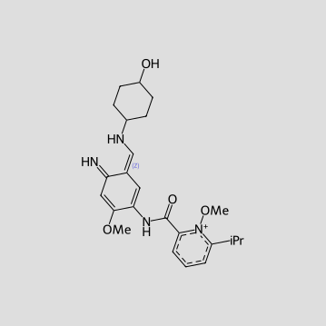 COC1=CC(=N)/C(=C\NC2CCC(O)CC2)C=C1NC(=O)c1cccc(C(C)C)[n+]1OC